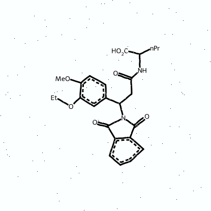 CCCC(NC(=O)CC(c1ccc(OC)c(OCC)c1)N1C(=O)c2ccccc2C1=O)C(=O)O